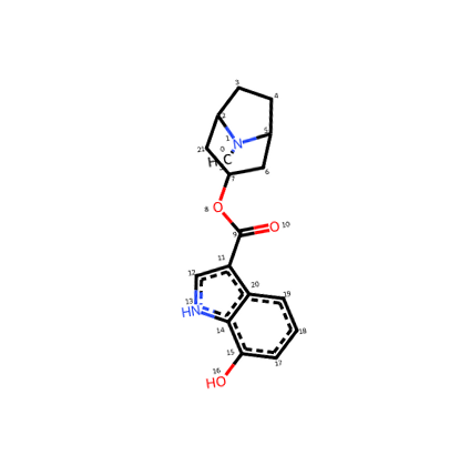 CN1C2CCC1CC(OC(=O)c1c[nH]c3c(O)cccc13)C2